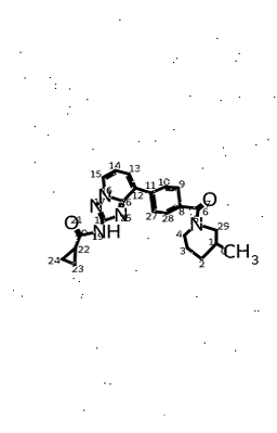 CC1CCCN(C(=O)c2ccc(-c3cccn4nc(NC(=O)C5CC5)nc34)cc2)C1